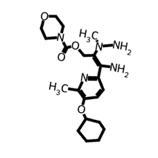 Cc1nc(/C(N)=C(\COC(=O)N2CCOCC2)N(C)N)ccc1OC1CCCCC1